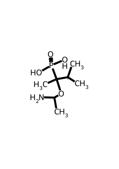 C[C](C)C(C)(OC(C)N)P(=O)(O)O